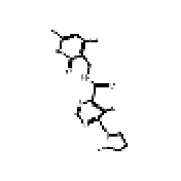 Cc1cc(C)c(CNC(=O)c2ncnc(N3CCC[C@@H]3C)c2C)c(=O)[nH]1